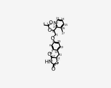 CC(=O)OC(COc1ccc(CC2SC(=O)NC2=O)cc1)c1ncccc1C